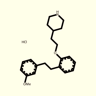 COc1cccc(CCc2ccccc2OCCC2CCNCC2)c1.Cl